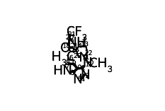 CN(c1ncnc2[nH]ccc12)N1CCCC(C)(C(=O)NCC(F)(F)F)C1